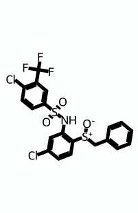 O=S(=O)(Nc1cc(Cl)ccc1[S+]([O-])Cc1ccccc1)c1ccc(Cl)c(C(F)(F)F)c1